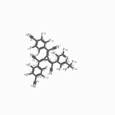 N#CC(=C1C(=C(\C#N)c2c(F)c(F)c(C#N)c(F)c2F)/C1=C(\C#N)c1c(F)c(F)c(C#N)c(F)c1F)c1c(F)c(F)nc(C(F)(F)F)c1F